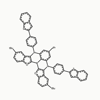 CC(C)c1cc2c3c(c1)N(c1ccc(-c4cc5ccccc5s4)cc1)c1c(oc4ccc(C(C)(C)C)cc14)B3c1oc3ccc(C(C)(C)C)cc3c1N2c1ccc(-c2cc3ccccc3s2)cc1